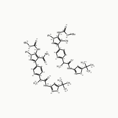 CC(C(=O)Nc1cc(C(C)(C)C(F)(F)F)on1)c1ccc(-c2nn(C(C)C)c(NC(=O)OC(C)(C)C)c2C#N)cn1.CC(C(=O)Nc1cc(C(C)(C)C(F)(F)F)on1)c1ccc(-c2nn(C(C)C)c(NC(=O)OC(C)(C)C)c2C(N)=O)cn1